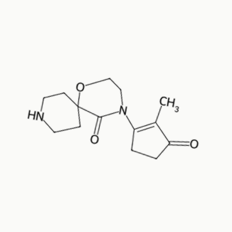 CC1=C(N2CCOC3(CCNCC3)C2=O)CCC1=O